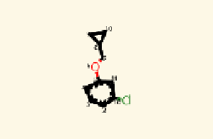 Clc1cc[c]c(OCC2CC2)c1